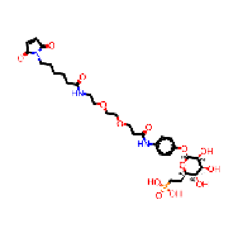 O=C(CCCCCN1C(=O)C=CC1=O)NCCOCCOCCC(=O)Nc1ccc(O[C@H]2O[C@H](CCP(=O)(O)O)[C@@H](O)[C@H](O)[C@@H]2O)cc1